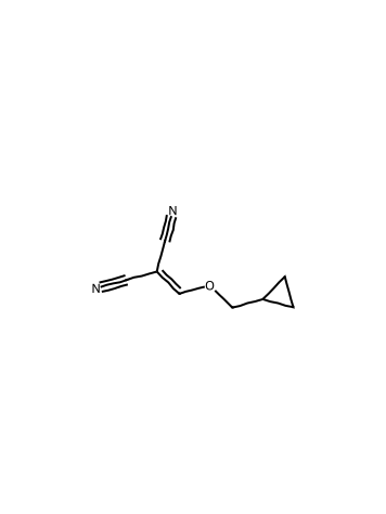 N#CC(C#N)=COCC1CC1